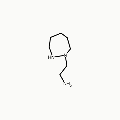 NCCN1CCCCCN1